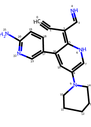 C#C/C(C=N)=C1/NC=C(N2CCCCC2)C=C1c1ccc(N)nc1